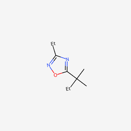 CCc1noc(C(C)(C)CC)n1